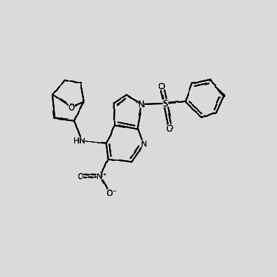 O=[N+]([O-])c1cnc2c(ccn2S(=O)(=O)c2ccccc2)c1NC1CC2CCC1O2